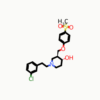 CS(=O)(=O)c1ccc(OC[C@@H]2CN(CCc3cccc(Cl)c3)CC[C@H]2O)cc1